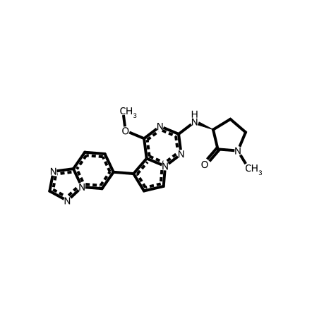 COc1nc(N[C@H]2CCN(C)C2=O)nn2ccc(-c3ccc4ncnn4c3)c12